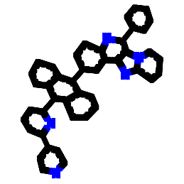 c1ccc(-c2nc3ccc(-c4c5ccccc5c(-c5cccc(-c6ccncc6)n5)c5ccccc45)cc3c3nc4ccccn4c23)cc1